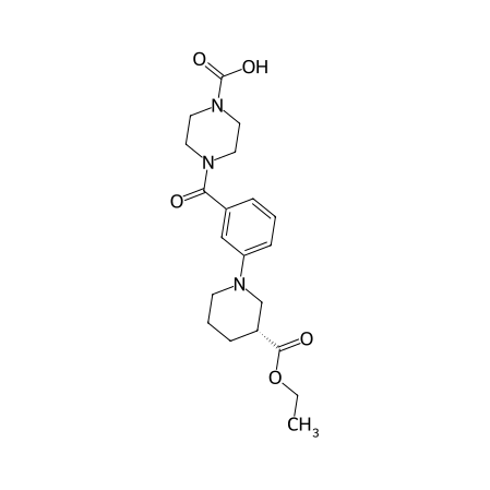 CCOC(=O)[C@@H]1CCCN(c2cccc(C(=O)N3CCN(C(=O)O)CC3)c2)C1